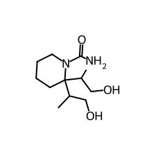 CC(CO)C1(C(C)CO)CCCCN1C(N)=O